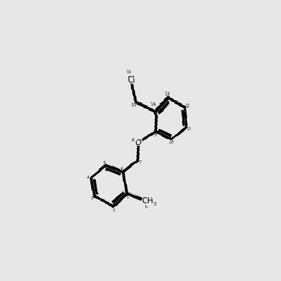 Cc1ccccc1COc1ccccc1CCl